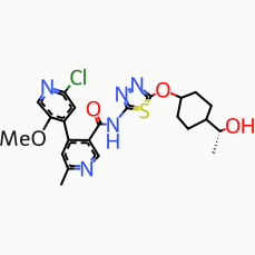 COc1cnc(Cl)cc1-c1cc(C)ncc1C(=O)Nc1nnc(OC2CCC([C@@H](C)O)CC2)s1